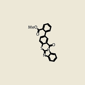 COC(=O)c1ccccc1-c1ccc2sc3nc4ccccc4n3c(=O)c2c1